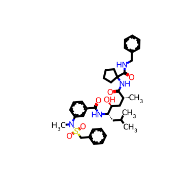 CC(C)C[C@H](NC(=O)c1cccc(N(C)S(=O)(=O)Cc2ccccc2)c1)[C@@H](O)C[C@@H](C)C(=O)NC1(C(=O)NCc2ccccc2)CCCC1